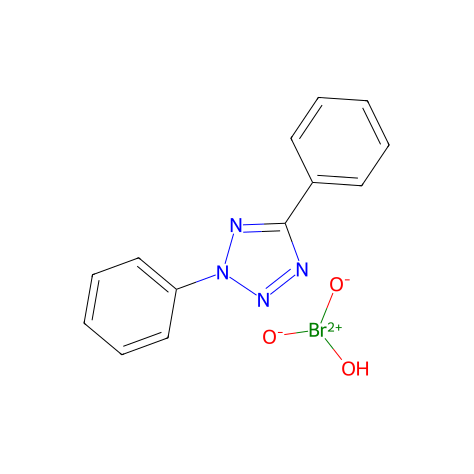 [O-][Br+2]([O-])O.c1ccc(-c2nnn(-c3ccccc3)n2)cc1